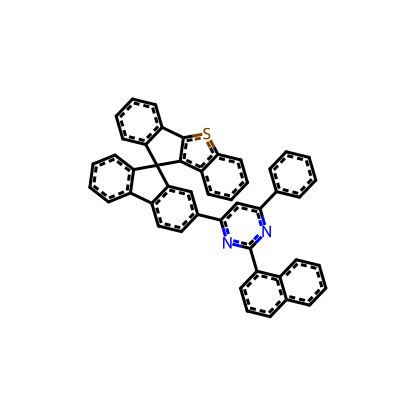 c1ccc(-c2cc(-c3ccc4c(c3)C3(c5ccccc5-4)c4ccccc4-c4sc5ccccc5c43)nc(-c3cccc4ccccc34)n2)cc1